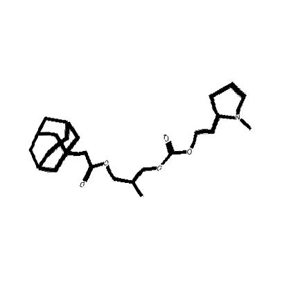 [CH2]C(COC(=O)CC12CC3CC(CC(C3)C1)C2)COC(=O)OCCC1CCCN1C